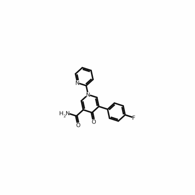 NC(=O)c1cn(-c2ccccn2)cc(-c2ccc(F)cc2)c1=O